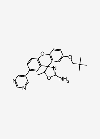 CC1OC(N)=N[C@]12c1cc(OCC(C)(C)C)ccc1Oc1ccc(-c3cncnc3)cc12